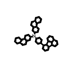 c1cc(-c2ccc(N(c3ccc4c(ccc5ccccc54)c3)c3ccc4c(ccc5ccccc54)c3)cc2)c2c(c1)-c1cccc3cccc-2c13